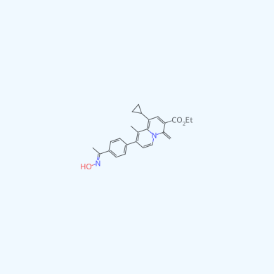 C=C1C(C(=O)OCC)=CC(C2CC2)=C2C(C)=C(c3ccc(/C(C)=N/O)cc3)C=CN12